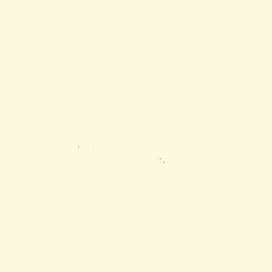 CCOC(=O)CC1CCCN1C(=O)c1ccccc1